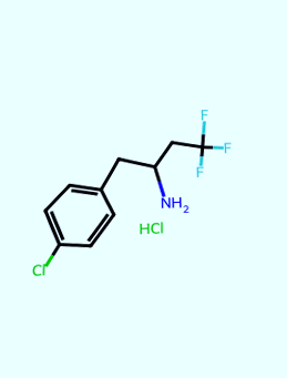 Cl.NC(Cc1ccc(Cl)cc1)CC(F)(F)F